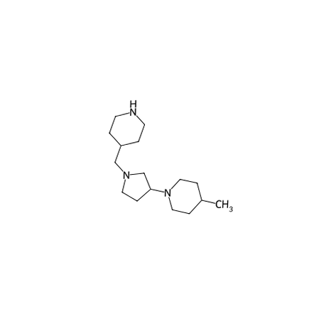 CC1CCN(C2CCN(CC3CCNCC3)C2)CC1